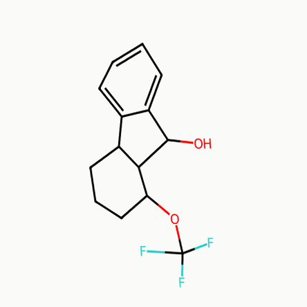 OC1c2ccccc2C2CCCC(OC(F)(F)F)C12